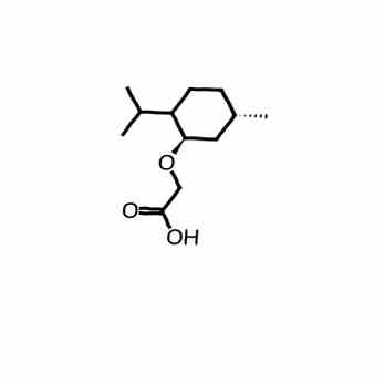 CC(C)C1CC[C@H](C)C[C@H]1OCC(=O)O